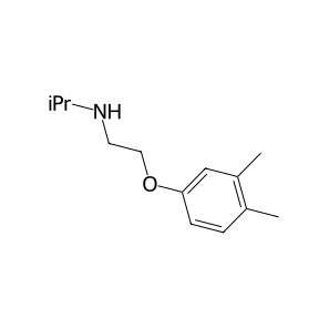 Cc1ccc(OCCNC(C)C)cc1C